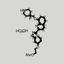 COCCOc1ccn2c(-c3ccc4cccc(OCC5(F)CCNCC5)c4n3)nnc2c1.Cl.Cl